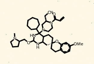 C=CC(=O)N1CCN(C2(C3CCCCCC3)NC(OCC3CCCN3C)NC3C[C@]4(CCc5ccc(OC)cc5O4)CCC32)CC1CC#N